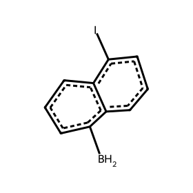 Bc1cccc2c(I)cccc12